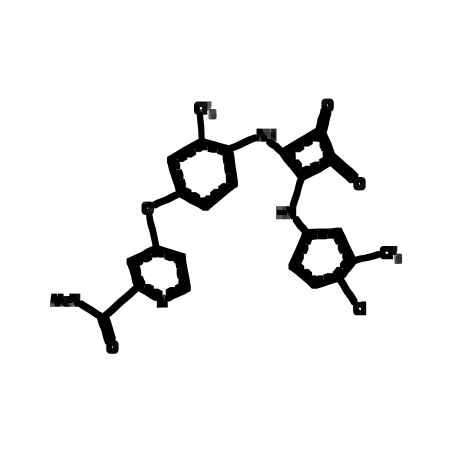 CNC(=O)c1cc(Oc2ccc(Nc3c(Nc4ccc(Cl)c(C(F)(F)F)c4)c(=O)c3=O)c(C(F)(F)F)c2)ccn1